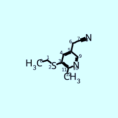 CCSc1cc(CC#N)cnc1C